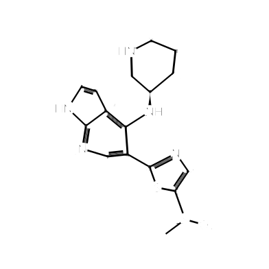 C[S+]([O-])c1cnc(-c2cnc3[nH]ccc3c2N[C@@H]2CCCNC2)s1